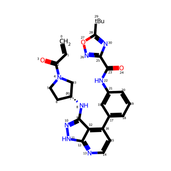 C=CC(=O)N1CC[C@@H](Nc2n[nH]c3nccc(-c4cccc(NC(=O)c5noc(C(C)(C)C)n5)c4)c23)C1